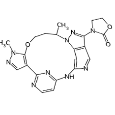 CC1CCOc2c(cnn2C)-c2nccc(n2)Nc2cc3c(cn2)c(N2CCOC2=O)nn31